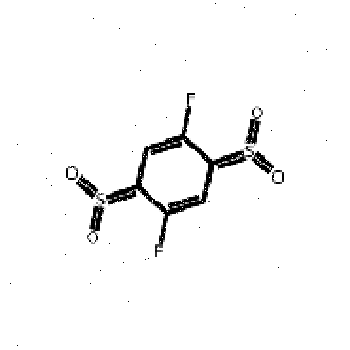 O=S(=O)=C1[C]=C(F)C(=S(=O)=O)C=C1F